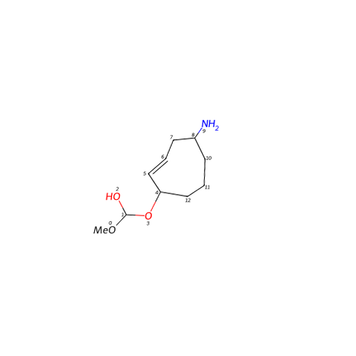 COC(O)OC1/C=C/CC(N)CCC1